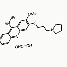 COc1cc2c(NC(C)C)c3cnccc3nc2cc1OCCCN1CCCC1.O=CO